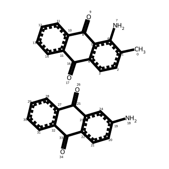 Cc1ccc2c(c1N)C(=O)c1ccccc1C2=O.Nc1ccc2c(c1)C(=O)c1ccccc1C2=O